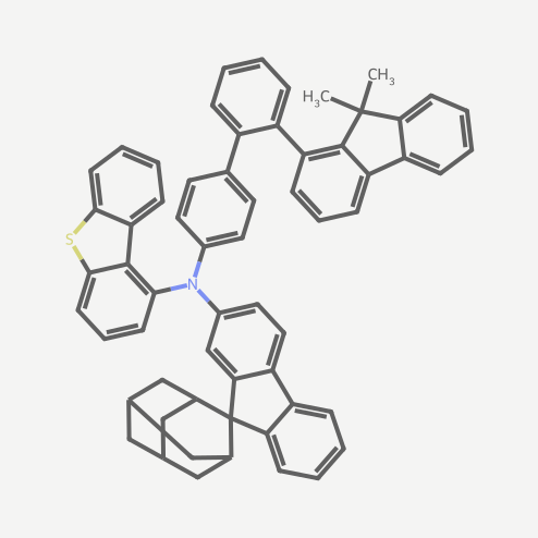 CC1(C)c2ccccc2-c2cccc(-c3ccccc3-c3ccc(N(c4ccc5c(c4)C4(c6ccccc6-5)C5CC6CC(C5)CC4C6)c4cccc5sc6ccccc6c45)cc3)c21